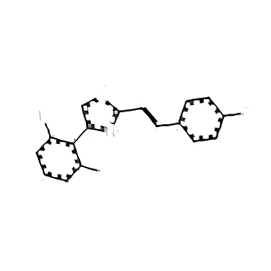 Fc1ccc(/C=C/c2nc(-c3c(F)cccc3F)cs2)cc1